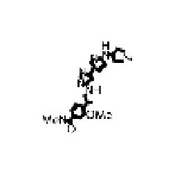 CNC(=O)c1ccc(C(C)CNc2cc(-c3ccc(NC4CCN(C)CC4)nc3)ncn2)c(OC)c1